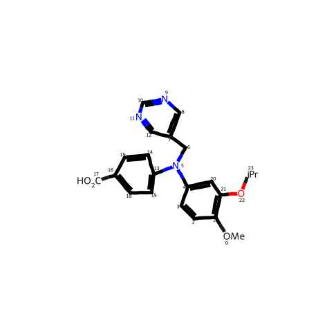 COc1ccc(N(Cc2cncnc2)c2ccc(C(=O)O)cc2)cc1OC(C)C